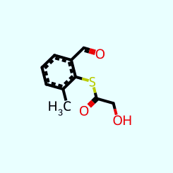 Cc1cccc(C=O)c1SC(=O)CO